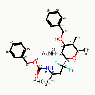 CC[C@H]1O[C@H](C(F)(F)C[C@H](NC(=O)OCc2ccccc2)C(=O)O)[C@H](NC(C)=O)[C@@H](OCc2ccccc2)[C@H]1C